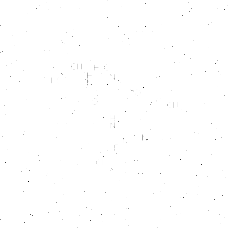 C=C(C)CNC(=O)[C@H]1C[C@H](Oc2cc3c(Nc4cccc(Cl)c4F)ncnc3cc2OC)CN1C